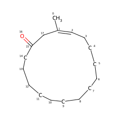 CC1=CCCCCCCCCCCCCC(=O)C1